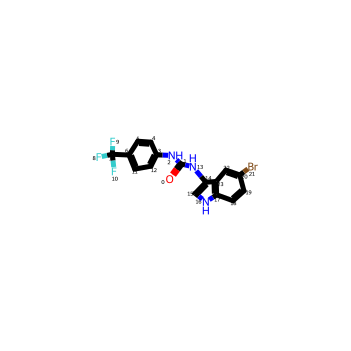 O=C(Nc1ccc(C(F)(F)F)cc1)Nc1c[nH]c2ccc(Br)cc12